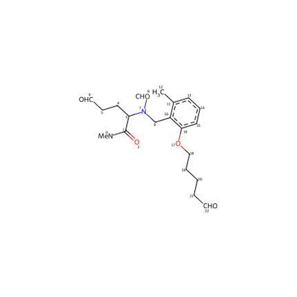 CNC(=O)C(CCC=O)N(C=O)Cc1c(C)cccc1OCCCCC=O